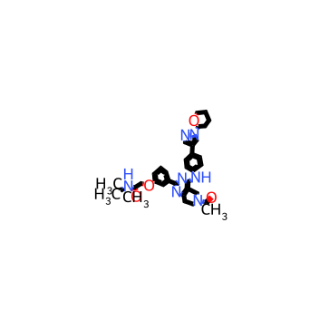 CC(=O)N1CCc2nc(-c3cccc(OCC(=O)NC(C)(C)C)c3)nc(Nc3ccc(-c4cnn(C5CCCCO5)c4)cc3)c2C1